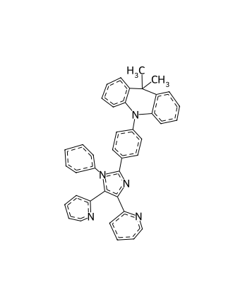 CC1(C)c2ccccc2N(c2ccc(-c3nc(-c4ccccn4)c(-c4ccccn4)n3-c3ccccc3)cc2)c2ccccc21